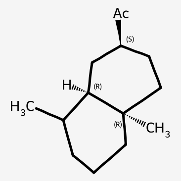 CC(=O)[C@H]1CC[C@@]2(C)CCCC(C)[C@H]2C1